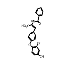 N#Cc1ccc(Oc2ccc(/C=C(/NC(=O)c3ccccc3)C(=O)O)cc2)c(Br)c1